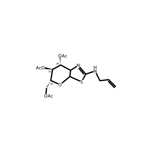 C=CCNC1=NC2C(O[C@H](COC(C)=O)[C@@H](OC(C)=O)[C@@H]2OC(C)=O)S1